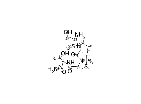 C[C@@H](O)[C@H](NC(=O)[C@@H]1CSC(C)(C)N1C(=O)[C@@H]1CCCN1C(=O)[C@@H](N)CO)C(N)=O